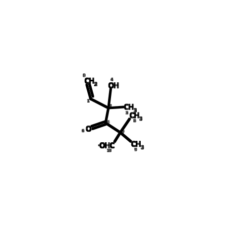 C=CC(C)(O)C(=O)C(C)(C)[C]=O